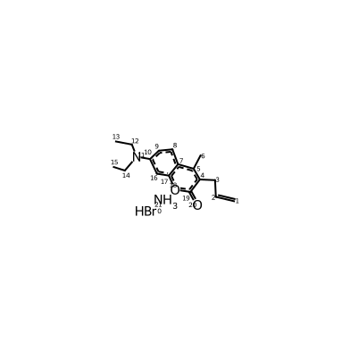 Br.C=CCc1c(C)c2ccc(N(CC)CC)cc2oc1=O.N